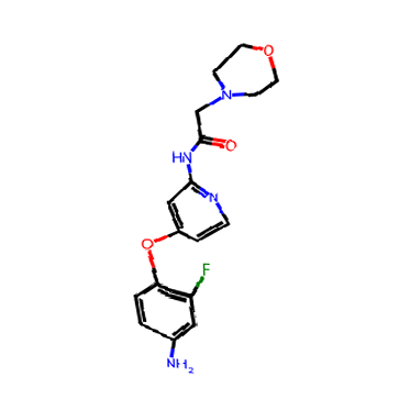 Nc1ccc(Oc2ccnc(NC(=O)CN3CCOCC3)c2)c(F)c1